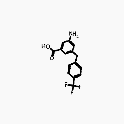 Nc1cc(Cc2ccc(C(F)(F)F)cc2)cc(C(=O)O)c1